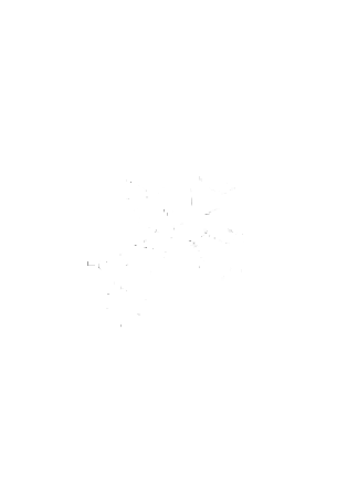 O=C(O)C[C@]1(CCN2CCOCC2)C[C@H](c2cccc(Cl)c2)[C@@H](c2ccc(Cl)cc2)N(CC2CC2)C1=O